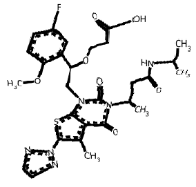 COc1ccc(F)cc1[C@H](Cn1c(=O)n(C(C)CC(=O)NC(C)C)c(=O)c2c(C)c(-n3nccn3)sc21)OCCC(=O)O